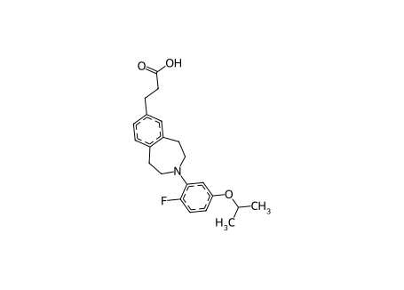 CC(C)Oc1ccc(F)c(N2CCc3ccc(CCC(=O)O)cc3CC2)c1